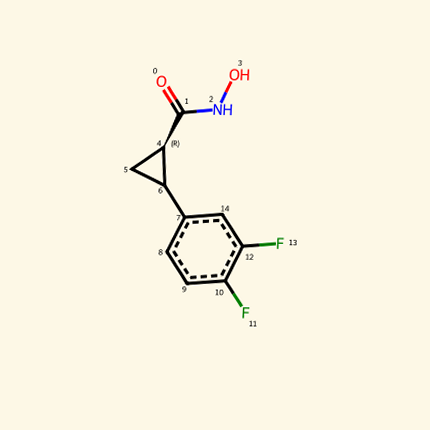 O=C(NO)[C@@H]1CC1c1ccc(F)c(F)c1